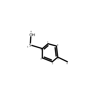 Cc1ccc(SO)cc1